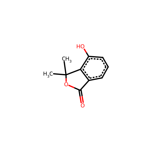 CC1(C)OC(=O)c2cccc(O)c21